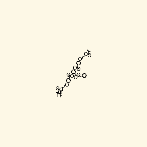 C=C(C)C(=O)OCCCOc1ccc(C(=O)Oc2ccc(OC(=O)c3ccc(OCCCOC(=O)C(=C)C(F)(F)F)cc3)c(C(=O)OCc3ccccc3)c2)cc1